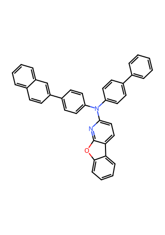 c1ccc(-c2ccc(N(c3ccc(-c4ccc5ccccc5c4)cc3)c3ccc4c(n3)oc3ccccc34)cc2)cc1